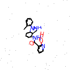 Cc1ccccc1N1NCC2C1=CC=C[C@H]2NC(=O)c1cccnc1O